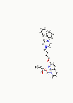 C=C1CCc2ccc(OCCCCN3CCN(c4cccc5ccccc45)CC3)nc2N1COC(=O)CC(C)C